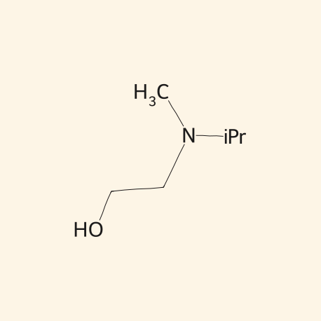 CC(C)N(C)CCO